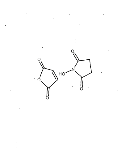 O=C1C=CC(=O)O1.O=C1CCC(=O)N1O